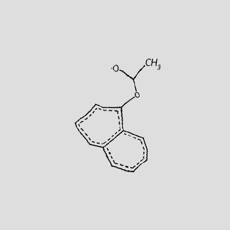 CC([O])Oc1cccc2ccccc12